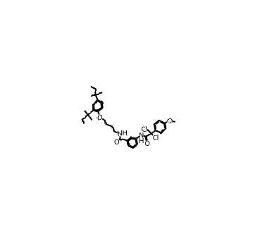 CCC(C)(C)c1ccc(OCCCCNC(=O)c2cccc(NC(=O)C(Cl)(Cl)c3ccc(OC)cc3)c2)c(C(C)(C)CC)c1